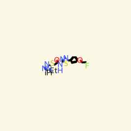 CCn1c(SCC(=O)Nc2nnc(-c3ccc(OCCF)cc3)s2)nnc1C(C)C